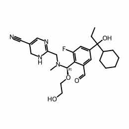 CCC(O)(c1cc(F)c([C@@H](OCCO)N(C)CC2=NC=C(C#N)CN2)c(C=O)c1)C1CCCCC1